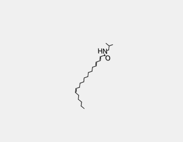 CCCCC/C=C\CCCCCCCC/C=C/C=C/C(=O)NCC(C)C